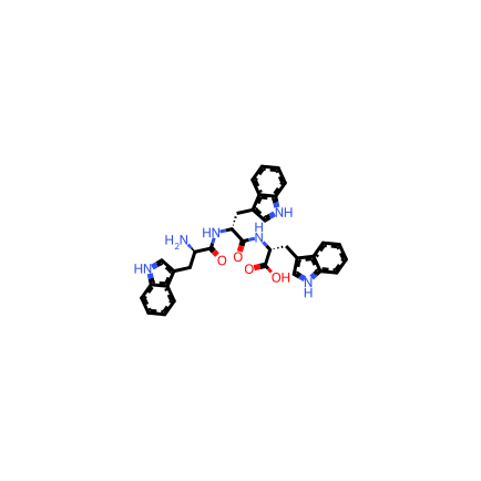 N[C@H](Cc1c[nH]c2ccccc12)C(=O)N[C@H](Cc1c[nH]c2ccccc12)C(=O)N[C@H](Cc1c[nH]c2ccccc12)C(=O)O